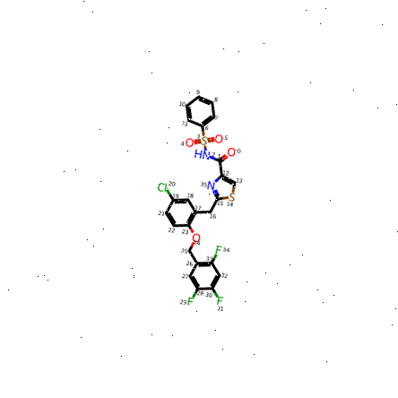 O=C(NS(=O)(=O)c1ccccc1)c1csc(Cc2cc(Cl)ccc2OCc2cc(F)c(F)cc2F)n1